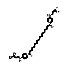 CCC(CC)CCNc1cc[n+](C(Br)CCCCCCCCCCCCCCCC(Br)[n+]2ccc(NCCC(CC)CC)cc2)cc1